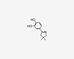 CC1(C)CN=C(c2ccc(O)c(O)c2)C1